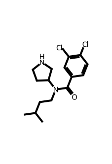 CC(C)CCN(C(=O)c1ccc(Cl)c(Cl)c1)C1CCNC1